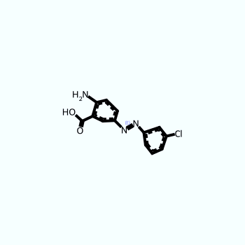 Nc1ccc(/N=N/c2cccc(Cl)c2)cc1C(=O)O